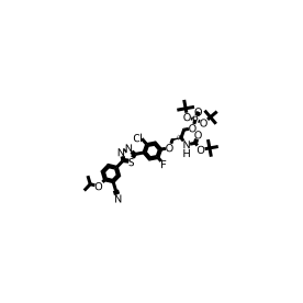 CC(C)Oc1ccc(-c2nnc(-c3cc(F)c(OC[C@@H](COP(=O)(OC(C)(C)C)OC(C)(C)C)NC(=O)OC(C)(C)C)cc3Cl)s2)cc1C#N